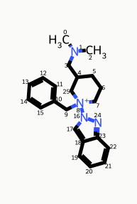 CN(C)CC1CCC[N+](Cc2ccccc2)(n2cc3ccccc3n2)C1